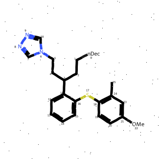 CCCCCCCCCCCCC(CCn1cnnc1)c1ccccc1Sc1ccc(OC)cc1C